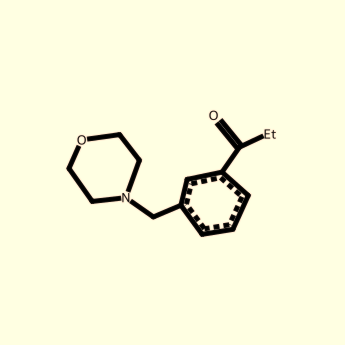 CCC(=O)c1cccc(CN2CCOCC2)c1